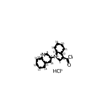 Cl.O=C(Cl)c1cn(-c2cnc3ccccc3c2)c2ccccc12